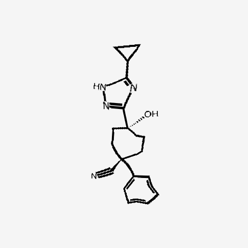 N#C[C@]1(c2ccccc2)CC[C@](O)(c2n[nH]c(C3CC3)n2)CC1